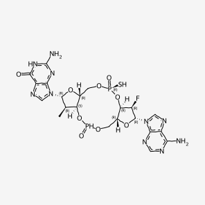 C[C@@H]1[C@@H]2O[PH](=O)OC[C@H]3O[C@@H](n4cnc5c(N)ncnc54)[C@H](F)[C@@H]3O[P@](=O)(S)OC[C@H]2O[C@H]1n1cnc2c(=O)[nH]c(N)nc21